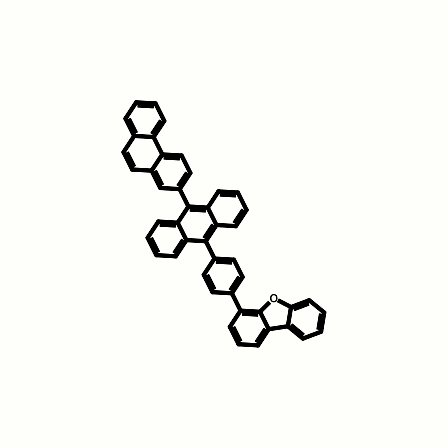 c1ccc2c(c1)ccc1cc(-c3c4ccccc4c(-c4ccc(-c5cccc6c5oc5ccccc56)cc4)c4ccccc34)ccc12